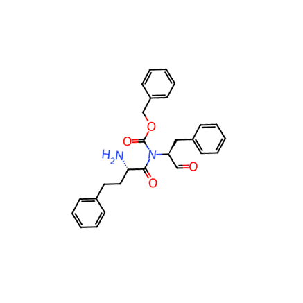 N[C@@H](CCc1ccccc1)C(=O)N(C(=O)OCc1ccccc1)[C@H](C=O)Cc1ccccc1